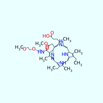 CCC1=C(C)C2/C=C3\N/C(=C(/CC(=O)OC)C4N/C(=C\c5[nH]c(c(C)c5CC)/C=C/1N2)C(C)=C4C(=O)NCCOCCOC)C(CCC(=O)O)C3C